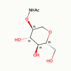 CC(=O)NO[C@H]1[CH]O[C@H](CO)[C@@H](O)[C@@H]1O